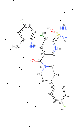 Cc1cc(F)ccc1Nc1c(C(=O)N2CCC(c3ccc(F)cc3)CC2)cnc(S(=N)(N)=O)c1Cl